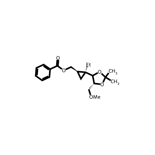 CC[C@]1(C2OC(C)(C)O[C@@H]2COC)C[C@H]1COC(=O)c1ccccc1